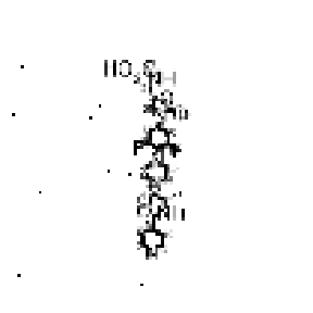 C[C@H](NC(=O)c1ccncc1)C(=O)N1CCN(c2c(F)cc(N3C[C@H](CNC(=O)O)OC3=O)cc2F)CC1